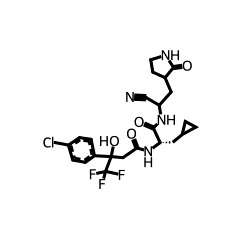 N#CC(CC1CCNC1=O)NC(=O)[C@H](CC1CC1)NC(=O)CC(O)(c1ccc(Cl)cc1)C(F)(F)F